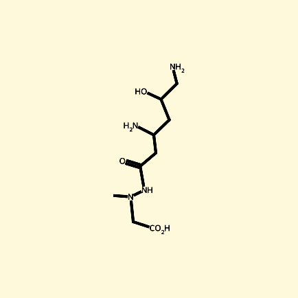 CN(CC(=O)O)NC(=O)CC(N)CC(O)CN